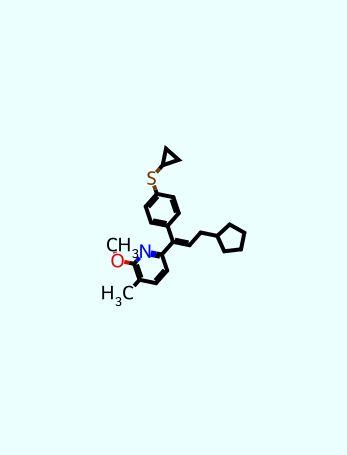 COc1nc(/C(=C/CC2CCCC2)c2ccc(SC3CC3)cc2)ccc1C